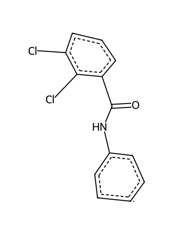 O=C(Nc1cc[c]cc1)c1cccc(Cl)c1Cl